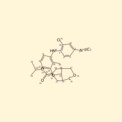 [C-]#[N+]c1ccc(Nc2ccnc(OC3C4COCC3CN(C(=O)OC(C)C)C4)c2C)c(Cl)c1